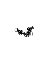 O=C(NC/C=C/S(=O)(=O)c1ccc(Cl)cn1)c1cc2c([nH]c1=O)CCN(C(=O)OCC1CC1)C2